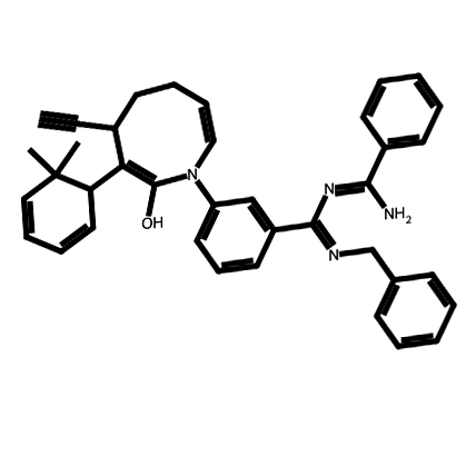 C#CC1CC/C=C\N(c2cccc(C(/N=C(\N)c3ccccc3)=N/Cc3ccccc3)c2)/C(O)=C\1C1C=CC=CC1(C)C